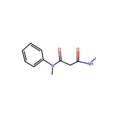 CN(C(=O)CC(=O)NI)c1ccccc1